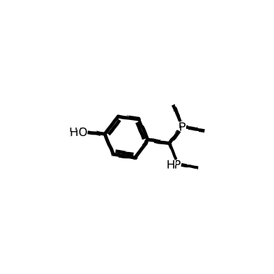 CPC(c1ccc(O)cc1)P(C)C